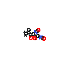 COc1cc(N2CCOCC2)ccc1-c1cc2c(O)cc3c(c2cc1N1CCOCC1)-c1ccccc1C31CC(C)(C)CC(C)(C)C1